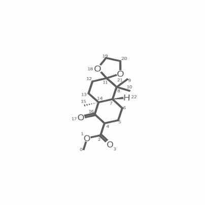 COC(=O)C1CC[C@H]2C(C)(C)C3(CC[C@]2(C)C1=O)OCCO3